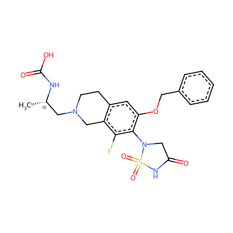 C[C@@H](CN1CCc2cc(OCc3ccccc3)c(N3CC(=O)NS3(=O)=O)c(F)c2C1)NC(=O)O